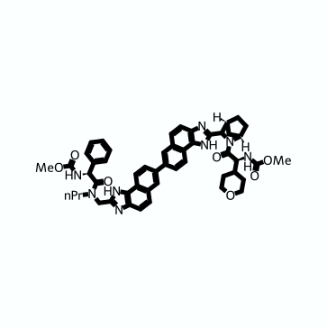 CCCN(Cc1nc2ccc3cc(-c4ccc5c(ccc6nc(C7[C@H]8CC[C@H](C8)N7C(=O)[C@@H](NC(=O)OC)C7CCOCC7)[nH]c65)c4)ccc3c2[nH]1)C(=O)[C@H](NC(=O)OC)c1ccccc1